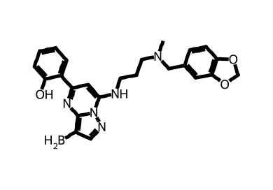 Bc1cnn2c(NCCCN(C)Cc3ccc4c(c3)OCO4)cc(-c3ccccc3O)nc12